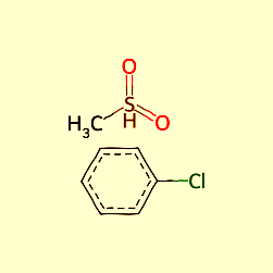 C[SH](=O)=O.Clc1ccccc1